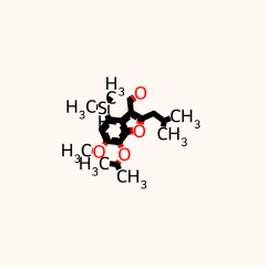 COc1cc([SiH](C)C)c2c(C=O)c(CC(C)C)oc2c1OC(C)C